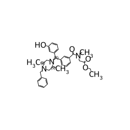 CCOC(=O)CN(C)C(=O)c1cccc([C@H](c2cccc(O)c2)N2C[C@@H](C)N(Cc3ccccc3)C[C@@H]2C)c1